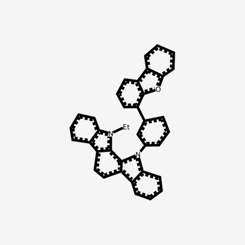 CCn1c2ccccc2c2ccc3c4ccccc4n(-c4cccc(-c5cccc6c5oc5ccccc56)c4)c3c21